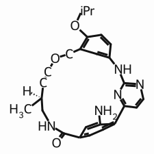 CC(C)Oc1ccc2cc1COCC[C@H](C)CNC(=O)c1ccc(c(N)c1)-c1ccnc(n1)N2